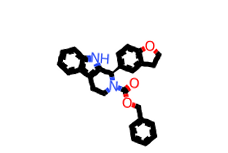 O=C(OCc1ccccc1)N1CCc2c([nH]c3ccccc23)[C@H]1c1ccc2c(c1)CCO2